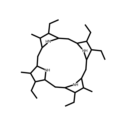 CCC1C2CC3NC(CC4NC(CC5NC(CC(N2)C1C)C(C)C5CC)C(CC)C4CC)C(C)C3CC